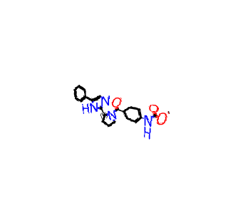 COC(=O)N[C@H]1CC[C@H](C(=O)N2CCC[C@H]2c2ncc(-c3ccccc3)[nH]2)CC1